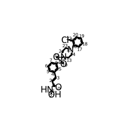 O=C(C=Cc1cccc(S(=O)(=O)N2CCN(c3ccccc3Cl)CC2)c1)NO